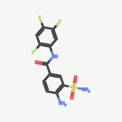 Nc1ccc(C(=O)Nc2cc(F)c(F)cc2F)cc1S(N)(=O)=O